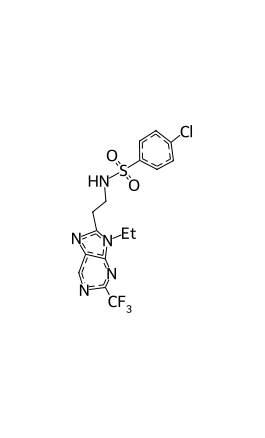 CCn1c(CCNS(=O)(=O)c2ccc(Cl)cc2)nc2cnc(C(F)(F)F)nc21